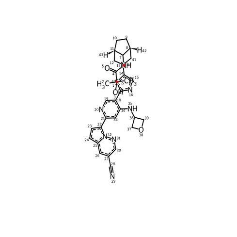 CC(C)(O)C(=O)NC1[C@@H]2CC[C@H]1CN(c1nnc(-c3cnc(-c4ccc5cc(C#N)cnn45)cc3NC3COC3)s1)C2